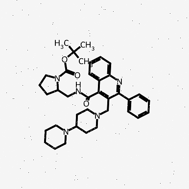 CC(C)(C)OC(=O)N1CCCC1CNC(=O)c1c(CN2CCC(N3CCCCC3)CC2)c(-c2ccccc2)nc2ccccc12